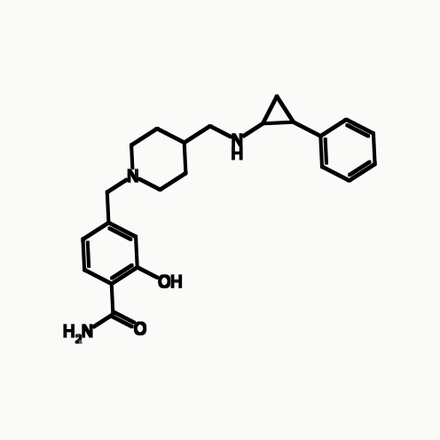 NC(=O)c1ccc(CN2CCC(CNC3CC3c3ccccc3)CC2)cc1O